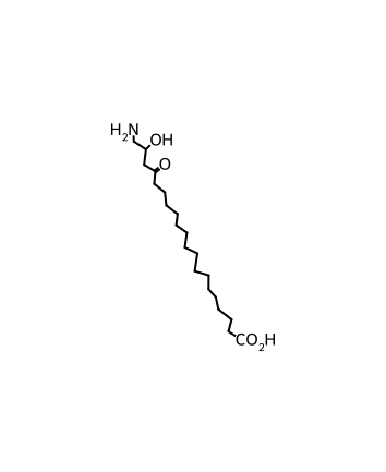 NCC(O)CC(=O)CCCCCCCCCCCCCCCC(=O)O